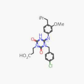 COc1cc(/N=c2\[nH]c(=O)n(CCC(=O)O)c(=O)n2Cc2ccc(Cl)cc2)ccc1CC(C)C